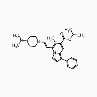 Cc1c(C(=O)OC(C)C)cc2c(-c3ccccc3)ccn2c1C=CN1CCC(N(C)C)CC1